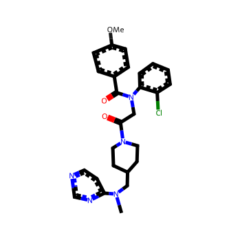 COc1ccc(C(=O)N(CC(=O)N2CCC(CN(C)c3ccncn3)CC2)c2ccccc2Cl)cc1